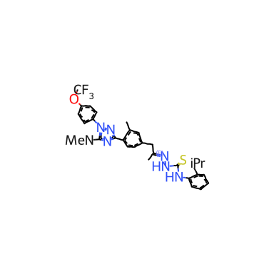 CNc1nc(-c2ccc(C/C(C)=N/NC(=S)Nc3ccccc3C(C)C)cc2C)nn1-c1ccc(OC(F)(F)F)cc1